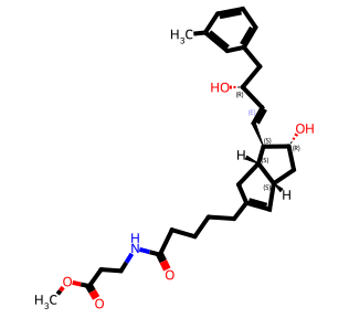 COC(=O)CCNC(=O)CCCCC1=C[C@H]2C[C@@H](O)[C@H](/C=C/[C@H](O)Cc3cccc(C)c3)[C@H]2C1